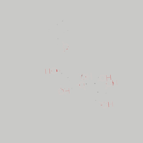 OCC(CO)(CO)COCC(CO)(CO)C(O)CCOc1ccccc1